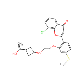 C=C(O)[C@H]1C[C@@H](OCCOc2cc(SC)ccc2-c2cc(=O)c3cccc(Cl)c3o2)C1